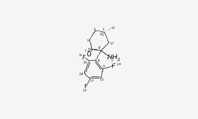 C[C@H]1CCC(=O)C(N)(c2c(F)cc(F)cc2F)C1